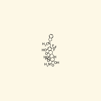 CN(Cc1cc(O)c2c(c1C(F)(F)F)CC1C[C@H]3CC(O)=C(C(N)=O)C(=O)[C@@]3(O)C(O)=C1C2=O)C1Cc2ccccc2C1